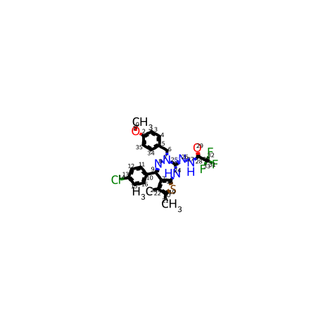 COc1ccc(CN2N=C(c3ccc(Cl)cc3)c3c(sc(C)c3C)N/C2=N\NC(=O)C(F)(F)F)cc1